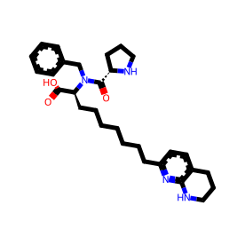 O=C(O)[C@H](CCCCCCCc1ccc2c(n1)NCCC2)N(Cc1ccccc1)C(=O)[C@@H]1CCCN1